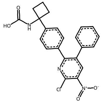 O=C(O)NC1(c2ccc(-c3nc(Cl)c([N+](=O)[O-])cc3-c3ccccc3)cc2)CCC1